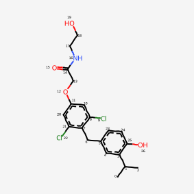 CC(C)c1cc(Cc2c(Cl)cc(OCC(=O)NCCO)cc2Cl)ccc1O